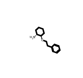 N[C@@H]1CCCC[C@H]1OCCc1ccccc1